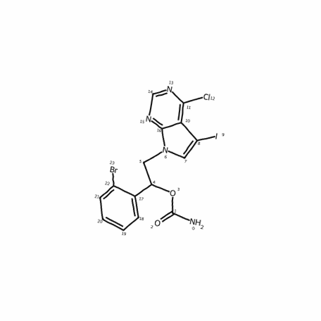 NC(=O)OC(Cn1cc(I)c2c(Cl)ncnc21)c1ccccc1Br